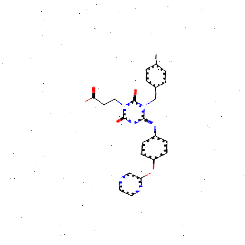 Cc1ccc(Cn2c(=O)n(CCC(=O)O)c(=O)[nH]/c2=N\c2ccc(Oc3cnccn3)cc2)cc1